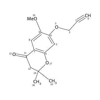 C#CCOc1cc2c(cc1OC)C(=O)CC(C)(C)O2